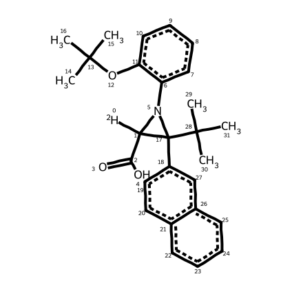 [2H]C1(C(=O)O)N(c2ccccc2OC(C)(C)C)C1(c1ccc2ccccc2c1)C(C)(C)C